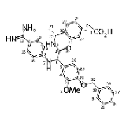 CC(=O)O.COc1cc([C@@H](Nc2ccc(C(=N)N)cc2)C(=O)N[C@H](C)c2ccccc2)ccc1OCc1ccccc1